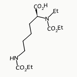 CCOC(=O)NCCCC[C@@H](C(=O)O)N(CC)C(=O)OCC